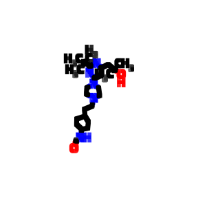 CC(C)(O)Cc1cc(N2CCN(CCC3CCC(NC=O)CC3)CC2)nc(C(C)(C)C)n1